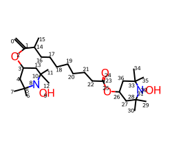 C=C(OC1CC(C)(C)N(O)C(C)(C)C1)C(C)CCCCCCCC(=O)OC1CC(C)(C)N(O)C(C)(C)C1